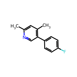 Cc1cc(C)c(-c2ccc(F)cc2)cn1